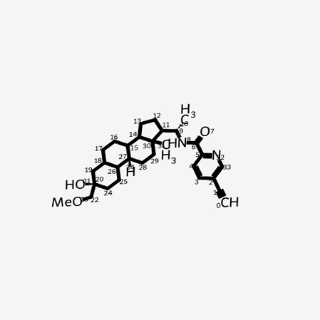 C#Cc1ccc(C(=O)N[C@@H](C)C2CCC3C4CCC5C[C@@](O)(COC)CCC5[C@H]4CCC32C)nc1